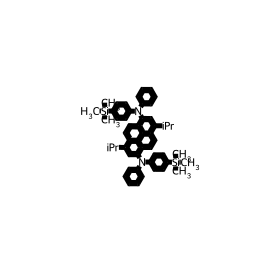 CC(C)c1cc(N(c2ccccc2)c2ccc([Si](C)(C)C)cc2)c2ccc3c(C(C)C)cc(N(c4ccccc4)c4ccc([Si](C)(C)C)cc4)c4ccc1c2c34